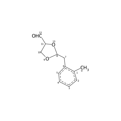 Cc1ccccc1CC1OCC(C=O)O1